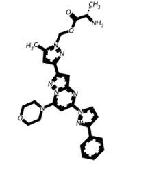 Cc1cc(-c2cc3nc(-n4ccc(-c5ccccc5)n4)cc(N4CCOCC4)n3n2)nn1COC(=O)[C@H](C)N